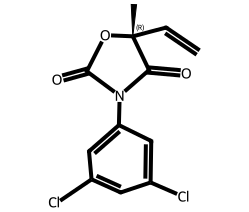 C=C[C@@]1(C)OC(=O)N(c2cc(Cl)cc(Cl)c2)C1=O